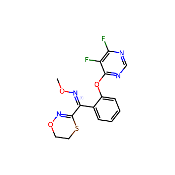 CO/N=C(\C1=NOCCS1)c1ccccc1Oc1ncnc(F)c1F